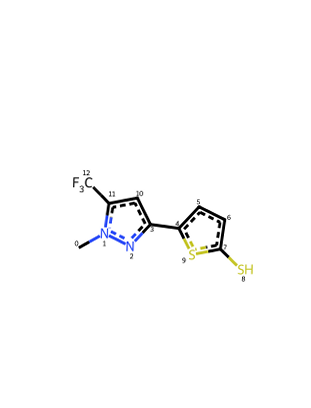 Cn1nc(-c2ccc(S)s2)cc1C(F)(F)F